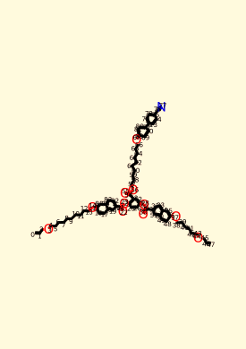 C=CCOCCCCCCCCCCOc1ccc2cc(C(=O)Oc3ccc(OC(=O)c4ccc5cc(OCCCCCCOCC=C)ccc5c4)cc3C(=O)OCCCCCCCCCCOc3ccc(-c4ccc(C#N)cc4)cc3)ccc2c1